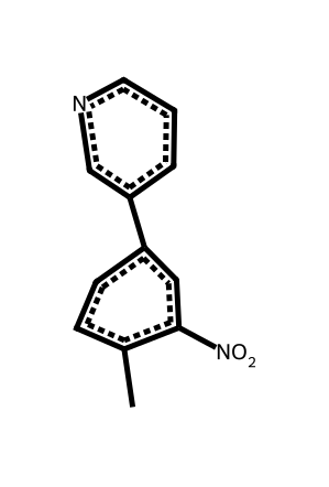 Cc1ccc(-c2cccnc2)cc1[N+](=O)[O-]